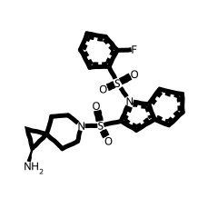 N[C@H]1CC12CCN(S(=O)(=O)c1cc3ccccc3n1S(=O)(=O)c1ccccc1F)CC2